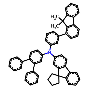 CC1(C)c2ccccc2-c2cccc(-c3cccc(N(c4ccc(-c5ccccc5)c(-c5ccccc5)c4)c4ccc5c(c4)C4(CCCC4)c4ccccc4-5)c3)c21